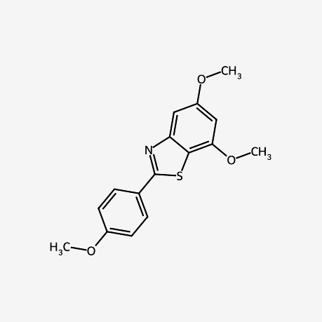 COc1ccc(-c2nc3cc(OC)cc(OC)c3s2)cc1